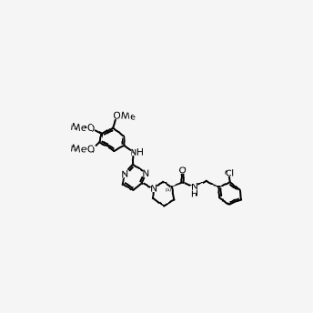 COc1cc(Nc2nccc(N3CCC[C@H](C(=O)NCc4ccccc4Cl)C3)n2)cc(OC)c1OC